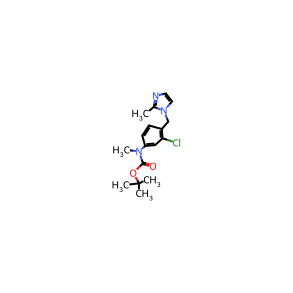 Cc1nccn1Cc1ccc(N(C)C(=O)OC(C)(C)C)cc1Cl